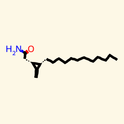 C=C1[C@@H](CCCCCCCCCCCC)[C@H]1CC(N)=O